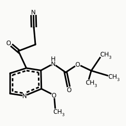 COc1nccc(C(=O)CC#N)c1NC(=O)OC(C)(C)C